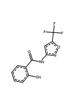 O=C(Nc1cc(C(F)(F)F)on1)c1ccccc1O